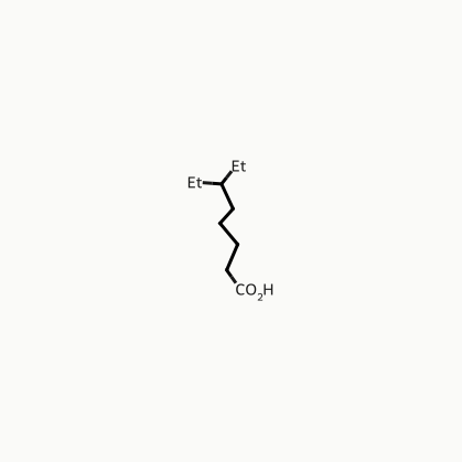 CCC(CC)CCCCC(=O)O